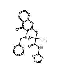 CC(C)(Sc1nc2nccnc2c(=O)n1CCc1ccccc1)C(=O)Nc1nccs1